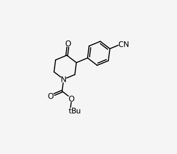 CC(C)(C)OC(=O)N1CCC(=O)C(c2ccc(C#N)cc2)C1